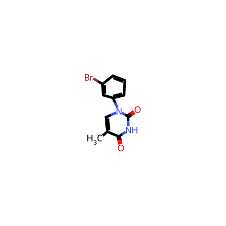 Cc1cn(-c2cccc(Br)c2)c(=O)[nH]c1=O